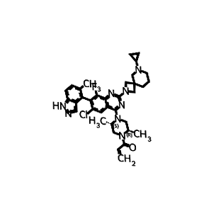 C=CC(=O)N1C[C@H](C)N(c2nc(N3CC4(CCCN(C5CC5)C4)C3)nc3c(F)c(-c4c(C)ccc5[nH]ncc45)c(Cl)cc23)C[C@H]1C